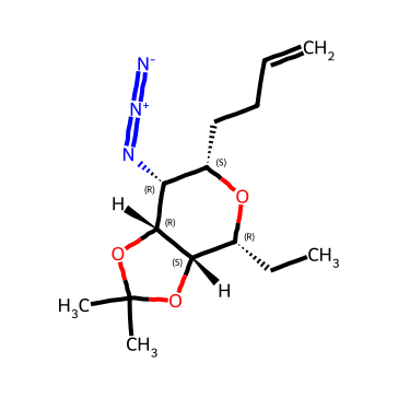 C=CCC[C@@H]1O[C@H](CC)[C@@H]2OC(C)(C)O[C@@H]2[C@@H]1N=[N+]=[N-]